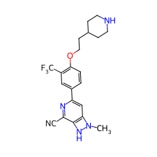 Cn1[nH]c2c(C#N)nc(-c3ccc(OCCC4CCNCC4)c(C(F)(F)F)c3)cc21